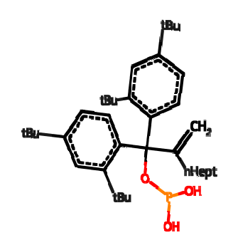 C=C(CCCCCCC)C(OP(O)O)(c1ccc(C(C)(C)C)cc1C(C)(C)C)c1ccc(C(C)(C)C)cc1C(C)(C)C